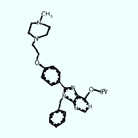 CC(C)Oc1ncnc2c1nc(-c1ccc(OCCN3CCN(C)CC3)cc1)n2Cc1ccccc1